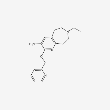 CCN1CCc2cc(N)c(OCc3ccccn3)nc2CC1